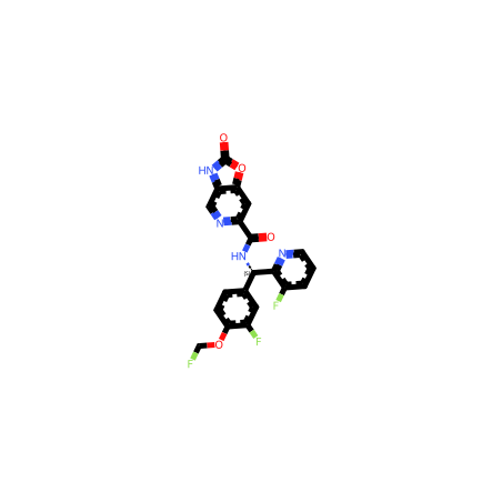 O=C(N[C@@H](c1ccc(OCF)c(F)c1)c1ncccc1F)c1cc2oc(=O)[nH]c2cn1